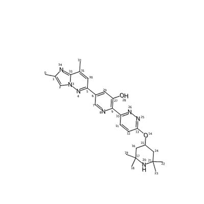 Cc1cn2nc(-c3cnc(-c4ccc(OC5CC(C)(C)NC(C)(C)C5)nn4)c(O)c3)cc(C)c2n1